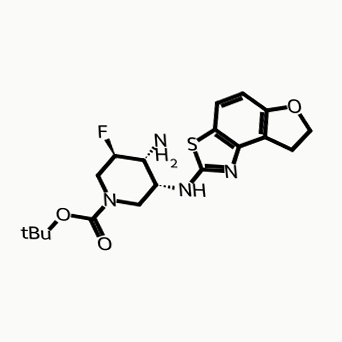 CC(C)(C)OC(=O)N1C[C@@H](F)[C@H](N)[C@H](Nc2nc3c4c(ccc3s2)OCC4)C1